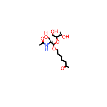 CC(=O)CCCCCOC(OC(CO)[C@@H](C)O)[C@H](CO)NC(C)=O